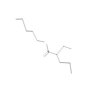 CCCCCOC(=O)C(CO)CCC